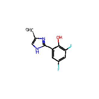 O=Cc1c[nH]c(-c2cc(F)cc(F)c2O)n1